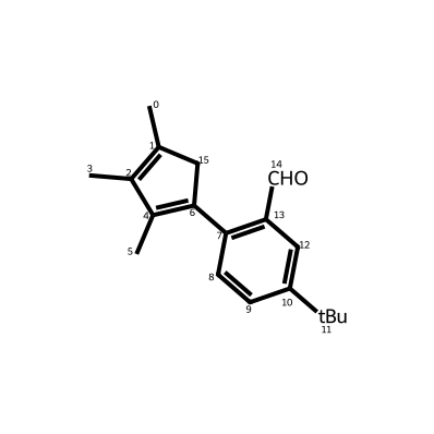 CC1=C(C)C(C)=C(c2ccc(C(C)(C)C)cc2C=O)C1